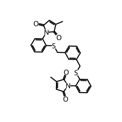 CC1=CC(=O)N(c2ccccc2SCc2cccc(CSc3ccccc3N3C(=O)C=C(C)C3=O)c2)C1=O